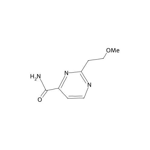 COCCc1nccc(C(N)=O)n1